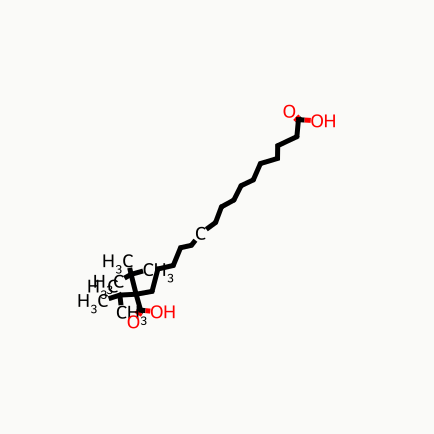 CC(C)(C)C(CCCCCCCCCCCCCCCC(=O)O)(C(=O)O)C(C)(C)C